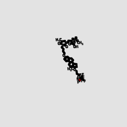 COP(=O)(O)O[C@@H]1C[C@H](N2CC(C)C(=O)N(CCCCOc3ccc4c(c3)CCC3C4CCC4(C)C(OCCCOC(C(F)(F)F)(C(F)(F)F)C(F)(F)F)CCC34)C2=O)OC1CO